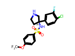 O=S(=O)(N[C@@]1(c2ccc(Cl)c(F)c2)CCNC1)c1ccc(OC(F)(F)F)cc1